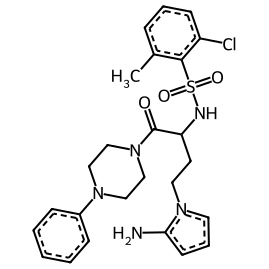 Cc1cccc(Cl)c1S(=O)(=O)NC(CCn1cccc1N)C(=O)N1CCN(c2ccccc2)CC1